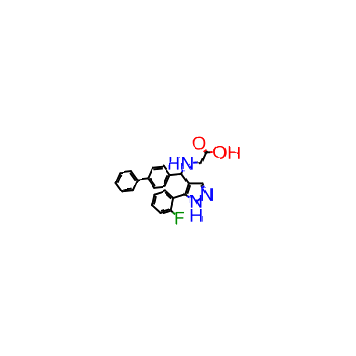 O=C(O)CNC(c1ccc(-c2ccccc2)cc1)c1cn[nH]c1-c1ccccc1F